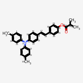 Cc1ccc(N(c2ccc(C)cc2)c2ccc(C=Cc3ccc(OC(=O)C(C)C)cc3)cc2)cc1